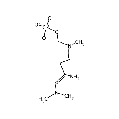 CN(C)C=C(N)CC=[N+](C)CO[Cl+3]([O-])([O-])[O-]